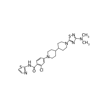 CN(C)c1nsc(N2CCC(C3CCN(c4ccc(C(=O)Nc5nccs5)c(Cl)c4)CC3)CC2)n1